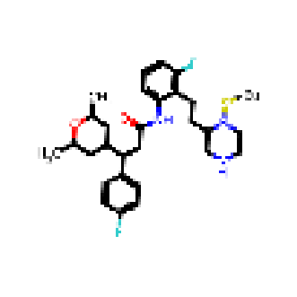 CCC(C)SN1CCNCC1CCc1c(F)cccc1NC(=O)CC(c1ccc(F)cc1)C1CC(C)OC(C)C1